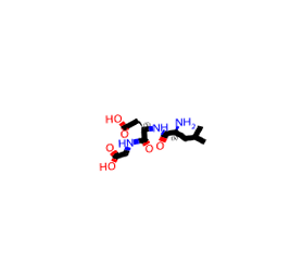 CC(C)C[C@H](N)C(=O)N[C@@H](CC(=O)O)C(=O)NCC(=O)O